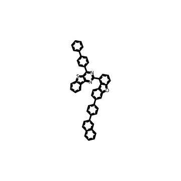 c1ccc(-c2ccc(-c3nc(-c4cccc5oc6cc(-c7ccc(-c8ccc9ccccc9c8)cc7)ccc6c45)nc4c3sc3ccccc34)cc2)cc1